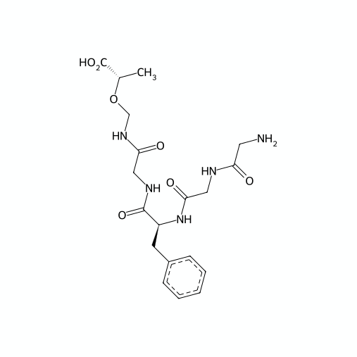 C[C@H](OCNC(=O)CNC(=O)[C@H](Cc1ccccc1)NC(=O)CNC(=O)CN)C(=O)O